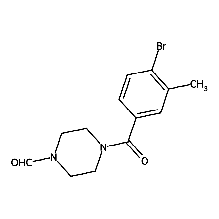 Cc1cc(C(=O)N2CCN(C=O)CC2)ccc1Br